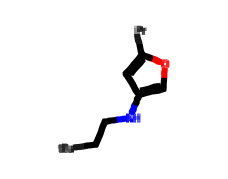 CC(C)c1cc(NCCC(C)(C)C)co1